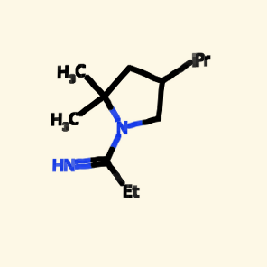 CCC(=N)N1CC(C(C)C)CC1(C)C